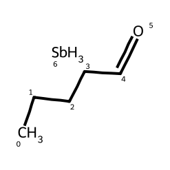 CCCCC=O.[SbH3]